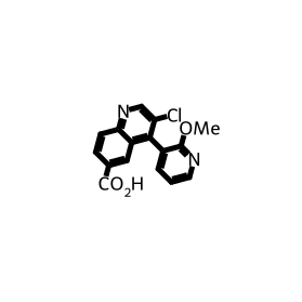 COc1ncccc1-c1c(Cl)cnc2ccc(C(=O)O)cc12